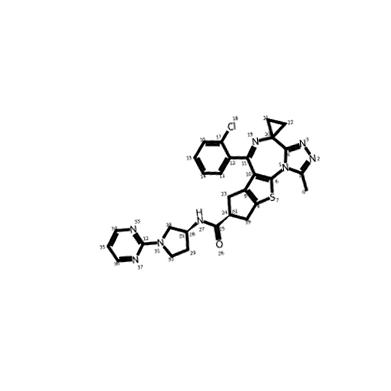 Cc1nnc2n1-c1sc3c(c1C(c1ccccc1Cl)=NC21CC1)C[C@H](C(=O)N[C@H]1CCN(c2ncccn2)C1)C3